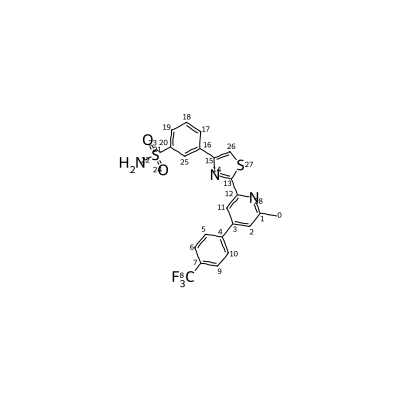 Cc1cc(-c2ccc(C(F)(F)F)cc2)cc(-c2nc(-c3cccc(S(N)(=O)=O)c3)cs2)n1